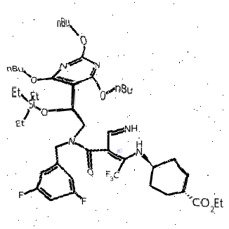 CCCCOc1nc(OCCCC)c(C(CN(Cc2cc(F)cc(F)c2)C(=O)/C(C=N)=C(/N[C@H]2CC[C@H](C(=O)OCC)CC2)C(F)(F)F)O[Si](CC)(CC)CC)c(OCCCC)n1